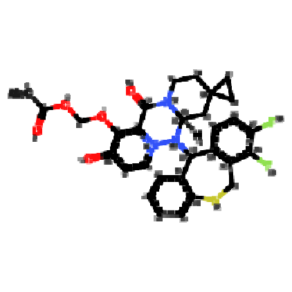 COC(=O)OCOc1c2n(ccc1=O)N([C@@H]1c3ccccc3SCc3c1ccc(F)c3F)[C@@H]1CC3(CCN1C2=O)CC3